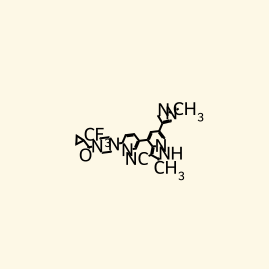 CC1NN2C=C(c3cnn(C)c3)C=C(c3ccc(N4CCN(C(=O)C5(C(F)(F)F)CC5)CC4)nc3)C2=C1C#N